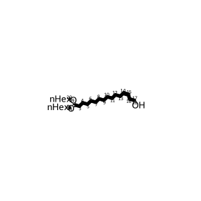 CCCCCCOC(CCCCCCCCCCC/C=C\CCO)OCCCCCC